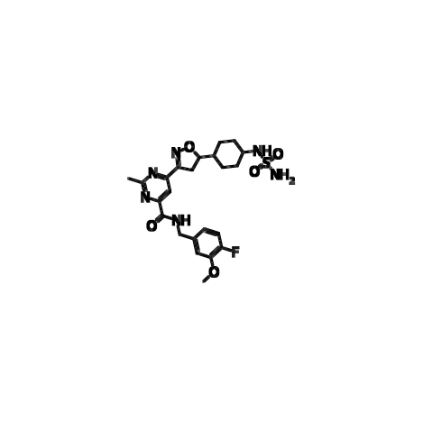 COc1cc(CNC(=O)c2cc(C3=NOC(C4CCC(NS(N)(=O)=O)CC4)C3)nc(C)n2)ccc1F